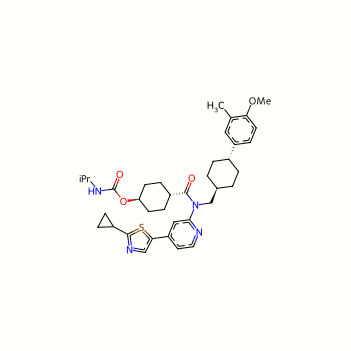 COc1ccc([C@H]2CC[C@H](CN(c3cc(-c4cnc(C5CC5)s4)ccn3)C(=O)[C@H]3CC[C@H](OC(=O)NC(C)C)CC3)CC2)cc1C